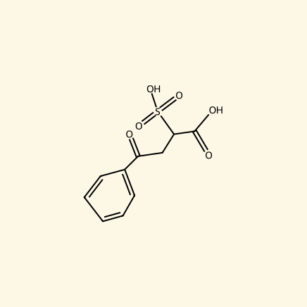 O=C(CC(C(=O)O)S(=O)(=O)O)c1ccccc1